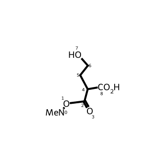 CNOC(=O)C(CCO)C(=O)O